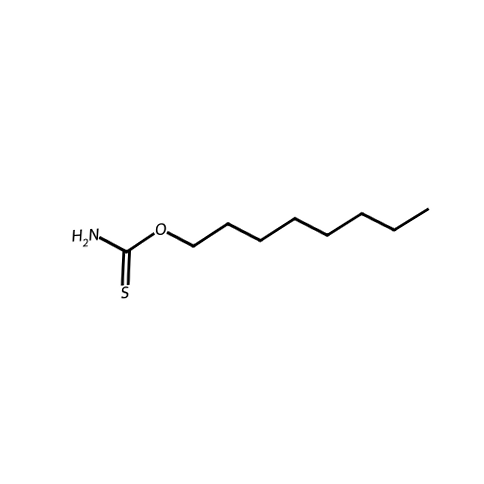 CCCCCCCCOC(N)=S